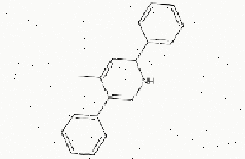 CC1=CC(c2ccccc2)NC=C1c1ccccc1